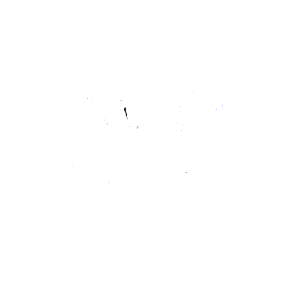 CN1CC(C)(C)CC2c3cccc4[nH]cc(c34)C[C@H]21